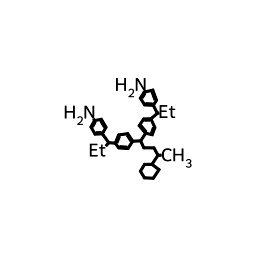 CCC(c1ccc(N)cc1)c1ccc(C(CCC(C)C2CCCCC2)c2ccc(C(CC)c3ccc(N)cc3)cc2)cc1